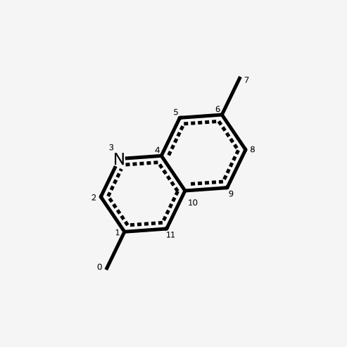 Cc1cnc2cc(C)ccc2c1